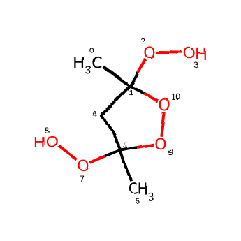 CC1(OO)CC(C)(OO)OO1